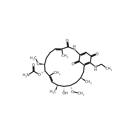 CCNC1=C2C[C@@H](C)C[C@H](OC)[C@H](O)[C@@H](C)/C=C(\C)[C@H](OC(N)=O)[C@@H](OC)CC/C=C(\C)C(=O)NC(=CC1=O)C2=O